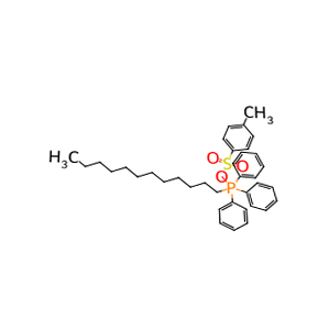 CCCCCCCCCCCCP(OS(=O)(=O)c1ccc(C)cc1)(c1ccccc1)(c1ccccc1)c1ccccc1